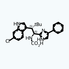 CC(C)(C)[C@@H](c1c[nH]c2cc(Cl)ccc12)[C@H](NC(=O)O)c1nc(-c2ccccc2)c[nH]1